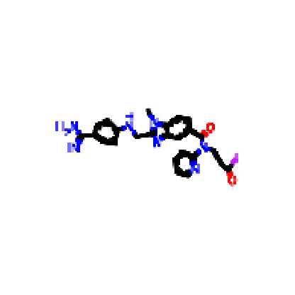 Cn1c(CNc2ccc(C(=N)N)cc2)nc2cc(C(=O)N(CCC(=O)I)c3ccccn3)ccc21